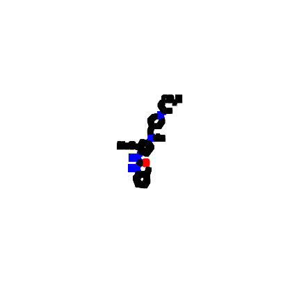 COc1cc(N(CC2CCN(C(C)CC(=O)O)CC2)C(C)=O)ccc1NC(=O)Nc1ccccc1C